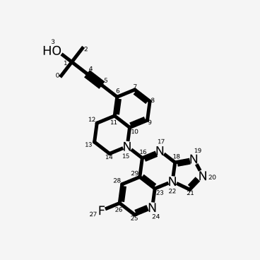 CC(C)(O)C#Cc1cccc2c1CCCN2c1nc2nncn2c2ncc(F)cc12